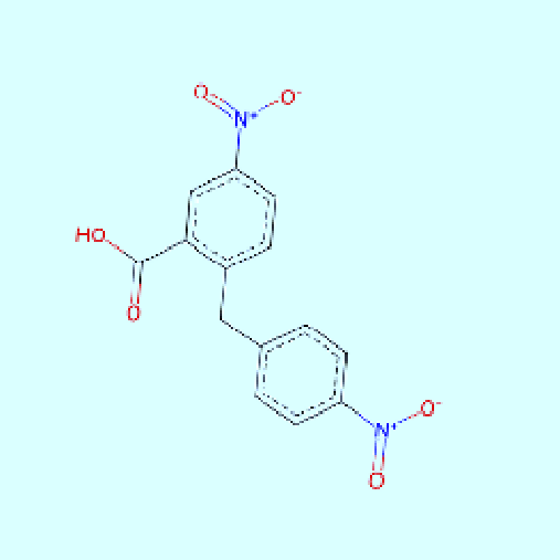 O=C(O)c1cc([N+](=O)[O-])ccc1Cc1ccc([N+](=O)[O-])cc1